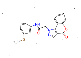 CSc1cccc(NC(=O)Cn2ncc3c(=O)oc4ccccc4c32)c1